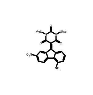 CSN1C(=O)C(=C2c3cc([N+](=O)[O-])ccc3-c3c2cccc3[N+](=O)[O-])C(=O)N(SC)C1=O